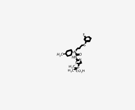 CC(C)(Sc1cnc(NC(=O)N(CCCSc2cccc(F)c2)[C@H]2CC[C@H](C)CC2)s1)C(=O)O